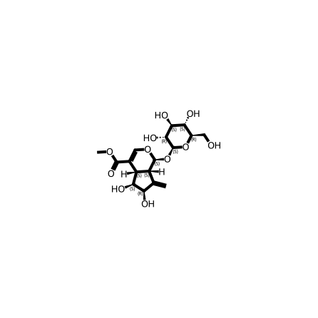 C=C1[C@H]2[C@H](O[C@@H]3O[C@H](CO)[C@@H](O)[C@H](O)[C@H]3O)OC=C(C(=O)OC)[C@H]2[C@H](O)[C@@H]1O